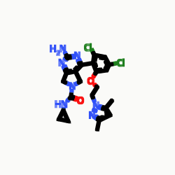 Cc1cc(C)n(CCOc2cc(Cl)cc(Cl)c2-c2nc(N)nc3c2CN(C(=O)NC2CC2)C3)n1